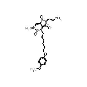 CCCC1N(Cl)C2=CN(C)[S+]([O-])N(CCCCCCOc3ccc(OC)cc3)C2=[N+]1[O-]